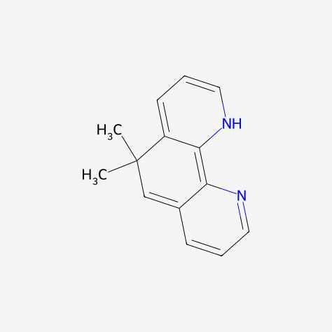 CC1(C)C=c2cccnc2=C2NC=CC=C21